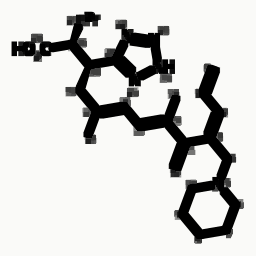 C=C/C=C(/CN1CCCCC1)C(=C)/C(C)=C/C=C(\C)C[C@H](c1nn[nH]n1)[C@H](CCC)C(=O)O